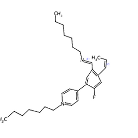 C/C=C\c1cc(F)c(-c2cc[n+](CCCCCCC)cc2)cc1/C=N/CCCCCCC